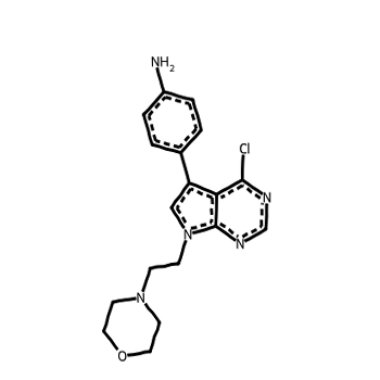 Nc1ccc(-c2cn(CCN3CCOCC3)c3ncnc(Cl)c23)cc1